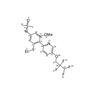 CCSc1cc(N=S(C)(C)=O)c[n+](OC)c1-c1ccc(OCC(F)(F)C(F)F)cn1